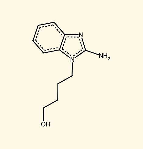 Nc1nc2ccccc2n1CCCCO